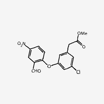 COC(=O)Cc1cc(Cl)cc(Oc2ccc([N+](=O)[O-])cc2C=O)c1